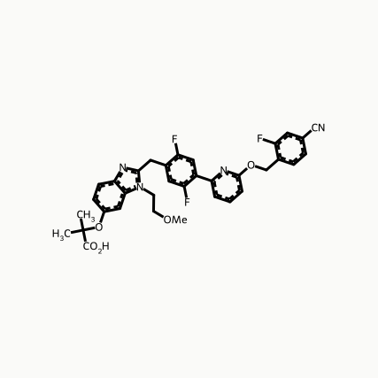 COCCn1c(Cc2cc(F)c(-c3cccc(OCc4ccc(C#N)cc4F)n3)cc2F)nc2ccc(OC(C)(C)C(=O)O)cc21